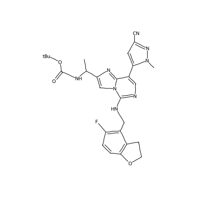 CC(NC(=O)OC(C)(C)C)c1cn2c(NCc3c(F)ccc4c3CCO4)ncc(-c3cc(C#N)nn3C)c2n1